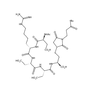 CC(=O)N[C@@H](CC(=O)O)C(=O)N[C@@H](CCCCNC(=N)N)C(=O)N[C@@H](CC(=O)O)C(=O)N[C@@H](CC(=O)O)C(=O)N[C@@H](CSC1CC(=O)N(CCC(=O)C(C)(C)C)C1=O)C(=O)O